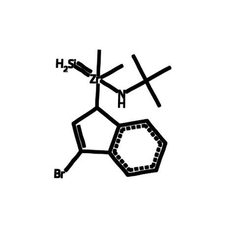 CC(C)(C)[NH][Zr]([CH3])([CH3])(=[SiH2])[CH]1C=C(Br)c2ccccc21